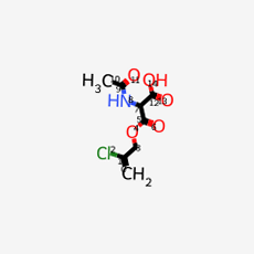 C=C(Cl)COC(=O)C(NC(C)=O)C(=O)O